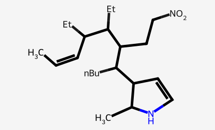 C/C=C\C(CC)C(CC)C(CC[N+](=O)[O-])C(CCCC)C1C=CNC1C